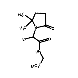 CCOC(=O)CNC(=O)C(CC)N1C(=O)CCC1(C)C